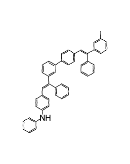 Cc1cccc(C(=Cc2ccc(-c3cccc(C(=Cc4ccc(Nc5ccccc5)cc4)c4ccccc4)c3)cc2)c2ccccc2)c1